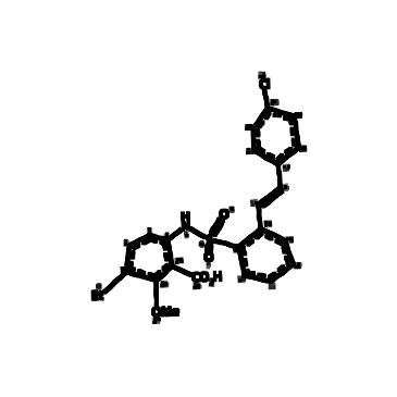 CCc1ccc(NS(=O)(=O)c2ccccc2C=Cc2ccc(Cl)cc2)c(C(=O)O)c1OC